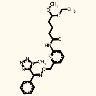 CCOC(CCCC(=O)Nc1cccc(CO/N=C(/c2ccccc2)c2nnnn2C)n1)OC